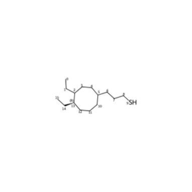 CCC1CCC(CCCS)CCC[C@H]1CC